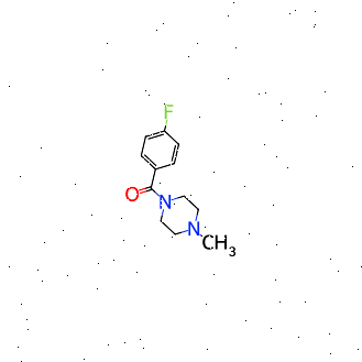 CN1CCN(C(=O)c2ccc(F)cc2)CC1